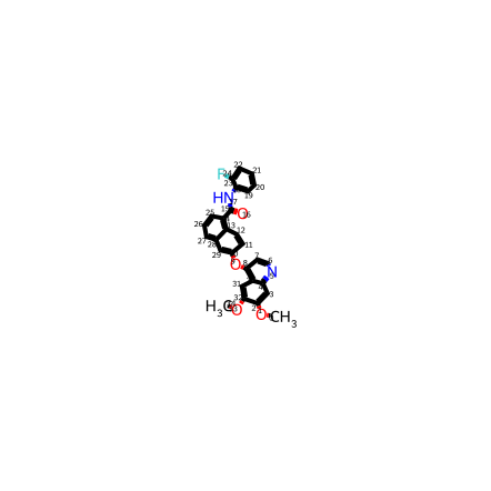 COc1cc2nccc(Oc3ccc4c(C(=O)Nc5ccccc5F)cccc4c3)c2cc1OC